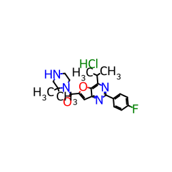 CC(C)c1nc(-c2ccc(F)cc2)nc2cc(C(=O)N3CCNCC3(C)C)oc12.Cl